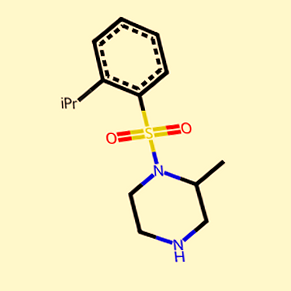 CC(C)c1ccccc1S(=O)(=O)N1CCNCC1C